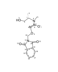 C[C@@H](CO)N(C)/[N+]([O-])=N/OCN1C(=O)c2ccccc2C1=O